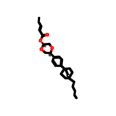 CCC=CC(=O)O[C@@H]1CO[C@@H](c2ccc(C34CCC(CCCCC)(CC3)CC4)cc2)CO1